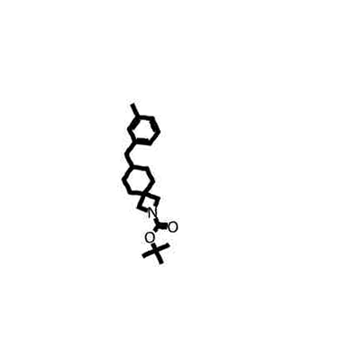 Cc1cccc(CC2CCC3(CC2)CN(C(=O)OC(C)(C)C)C3)c1